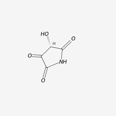 O=C1NC(=O)[C@@H](O)C1=O